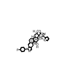 CC1C[C@H]2[C@@H]3CCC4=Cc5c(cnn5-c5ccc(F)cc5)C[C@]4(C)[C@H]3[C@@H](O)C[C@]2(C)[C@@]1(OC(=O)c1ccco1)C(=O)O